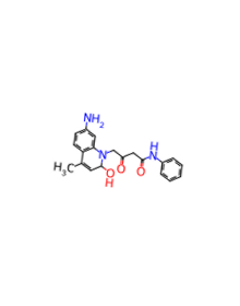 CC1=CC(O)N(CC(=O)CC(=O)Nc2ccccc2)c2cc(N)ccc21